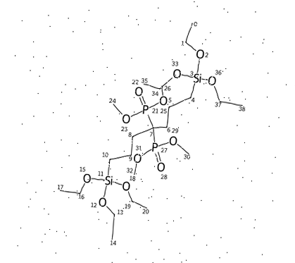 CCO[Si](CCCC(CCC[Si](OCC)(OCC)OCC)(P(=O)(OC)OC)P(=O)(OC)OC)(OCC)OCC